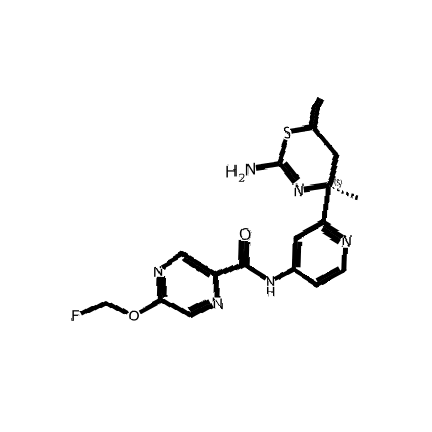 C=C1C[C@@](C)(c2cc(NC(=O)c3cnc(OCF)cn3)ccn2)N=C(N)S1